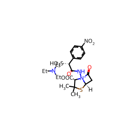 CC1(C)S[C@@H]2CC(=O)[N+]2(NC(=O)[C@@H](c2ccc([N+](=O)[O-])cc2)S(=O)(=O)O)[C@H]1C(=O)[O-].CCN(CC)CC